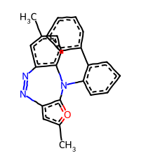 Cc1ccc2c(c1)N=Nc1cc(C)oc1N2c1ccccc1-c1ccccc1